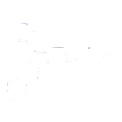 NNC(=O)c1nc2cc3c(-c4ccncc4)nn(Cc4ccccc4)c3cc2[nH]1